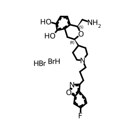 Br.Br.NC[C@H]1O[C@@H](C2CCN(CCCc3noc4cc(F)ccc34)CC2)Cc2c1ccc(O)c2O